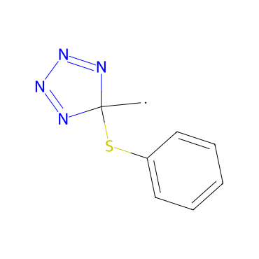 [CH2]C1(Sc2ccccc2)N=NN=N1